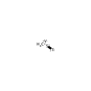 C.[S]=[Ti].[V]